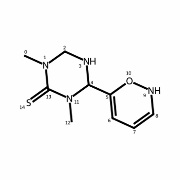 CN1CNC(C2=CC=CNO2)N(C)C1=S